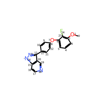 COc1cccc(Oc2ccc(C3=N[N]c4ccncc43)cc2)c1F